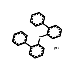 [KH].c1ccc(-c2ccccc2Oc2ccccc2-c2ccccc2)cc1